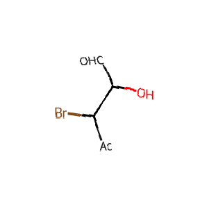 CC(=O)C(Br)C(O)C=O